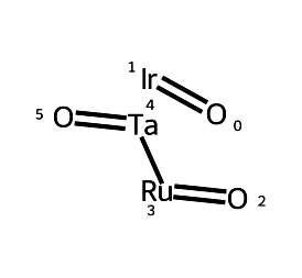 [O]=[Ir].[O]=[Ru][Ta]=[O]